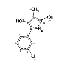 Cc1c(O)c(-c2cccc(Cl)c2)nn1C(C)(C)C